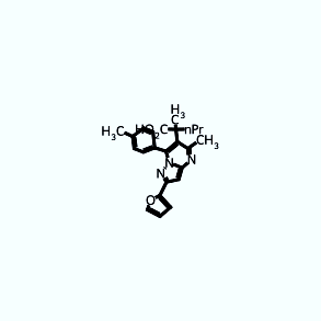 CCCC(C)(C(=O)O)c1c(C)nc2cc(-c3ccco3)nn2c1-c1ccc(C)cc1